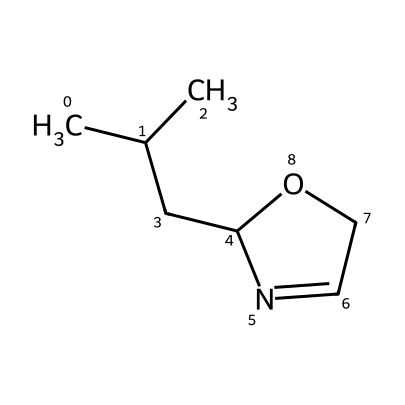 CC(C)CC1N=CCO1